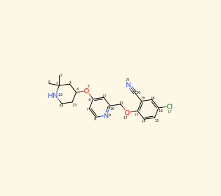 CC1(C)CC(Oc2ccnc(COc3ccc(Cl)cc3C#N)c2)CCN1